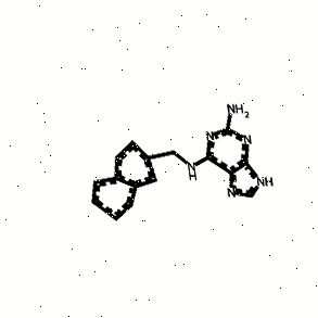 Nc1nc(NCc2ccc3ccccc3c2)c2nc[nH]c2n1